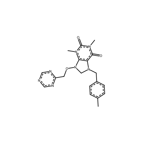 Cc1ccc(CN2CN(OCc3ncncn3)c3c2c(=O)n(C)c(=O)n3C)cc1